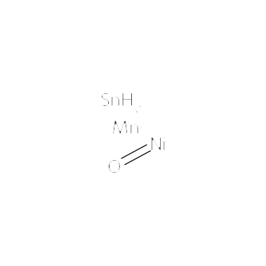 [Mn].[O]=[Ni].[SnH2]